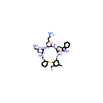 Cc1cc(CI)c2c(c1)CNC(=O)[C@H](Cc1c[nH]c3ccccc13)N(C)C(=O)[C@H](CCCCN)NC(=O)[C@H](CCCN)NCc1ccccc1S2